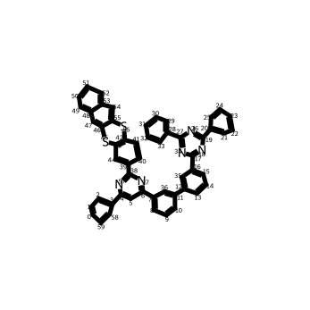 c1ccc(-c2cc(-c3cccc(-c4cccc(-c5nc(-c6ccccc6)nc(-c6ccccc6)n5)c4)c3)nc(-c3ccc4c(c3)Sc3cc5ccccc5cc3S4)n2)cc1